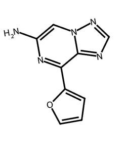 Nc1cn2ncnc2c(-c2ccco2)n1